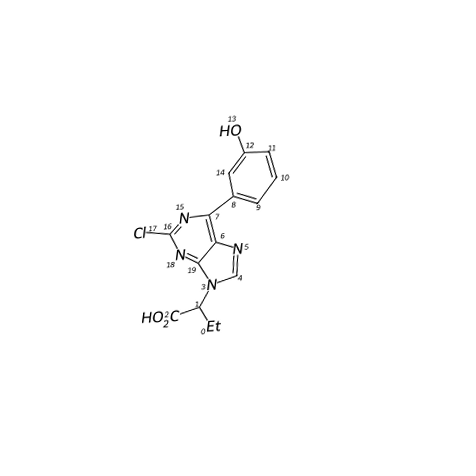 CCC(C(=O)O)n1cnc2c(-c3cccc(O)c3)nc(Cl)nc21